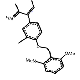 CN/C=C(\C(C)=N)c1ccc(OCc2c(NC)cccc2OC)c(C)c1